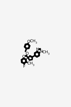 COc1ccc(COC(=O)[C@]2(c3cccc(F)c3C)C=C(c3ccc4c(c3)ncn4C)CC2)cc1